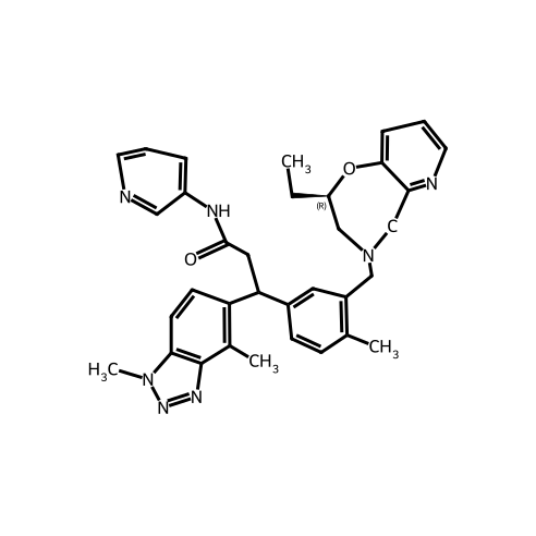 CC[C@@H]1CN(Cc2cc(C(CC(=O)Nc3cccnc3)c3ccc4c(nnn4C)c3C)ccc2C)Cc2ncccc2O1